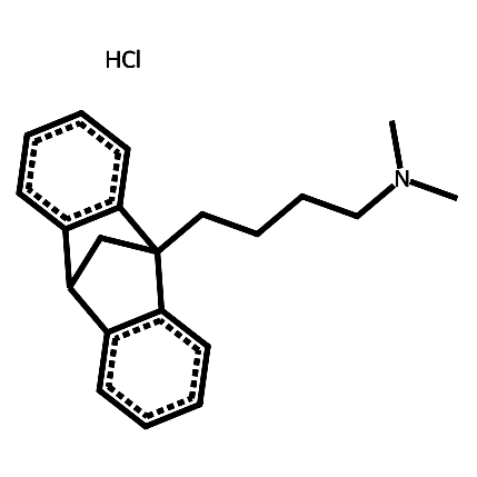 CN(C)CCCCC12CC(c3ccccc31)c1ccccc12.Cl